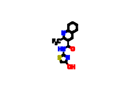 O=C(Nc1nc(O)cs1)c1cc2ccccc2nc1C(F)(F)F